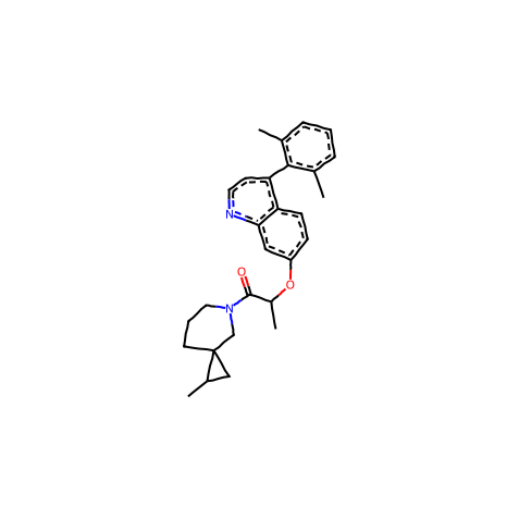 Cc1cccc(C)c1-c1ccnc2cc(OC(C)C(=O)N3CCCC4(CC4C)C3)ccc12